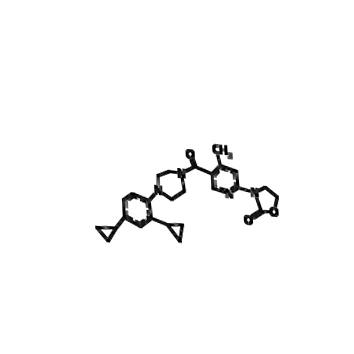 Cc1cc(N2CCOC2=O)ncc1C(=O)N1CCN(c2ccc(C3CC3)cc2C2CC2)CC1